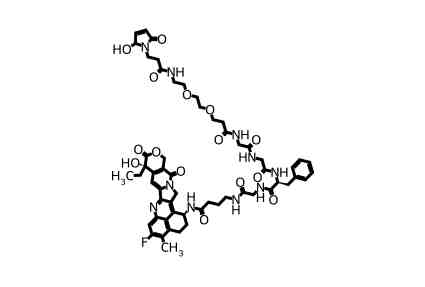 CC[C@@]1(O)C(=O)OCc2c1cc1n(c2=O)Cc2c-1nc1cc(F)c(C)c3c1c2[C@@H](NC(=O)CCCNC(=O)CNC(=O)[C@H](Cc1ccccc1)NC(=O)CNC(=O)CNC(=O)CCOCCOCCNC(=O)CCN1C(=O)C=CC1O)CC3